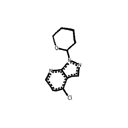 Clc1ccnc2c1cnn2C1CCCCO1